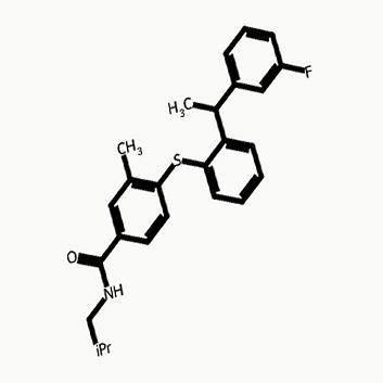 Cc1cc(C(=O)NCC(C)C)ccc1Sc1ccccc1C(C)c1cccc(F)c1